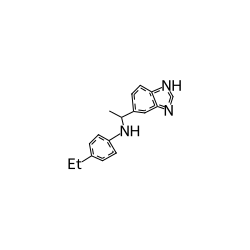 CCc1ccc(NC(C)c2ccc3[nH]cnc3c2)cc1